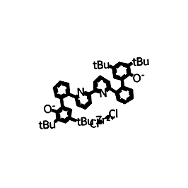 CC(C)(C)c1cc(-c2ccccc2-c2cccc(-c3cccc(-c4ccccc4-c4cc(C(C)(C)C)cc(C(C)(C)C)c4[O-])n3)n2)c([O-])c(C(C)(C)C)c1.[Cl][Zr+2][Cl]